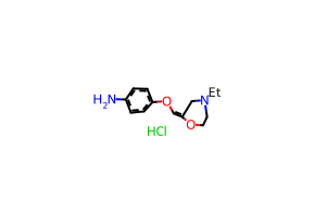 CCN1CCOC(=COc2ccc(N)cc2)C1.Cl